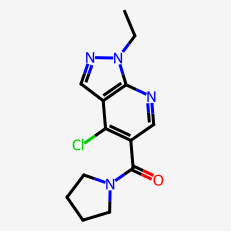 CCn1ncc2c(Cl)c(C(=O)N3CCCC3)cnc21